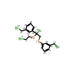 BrCCSC(Br)(CSc1cccc(CBr)c1)c1cccc(CBr)c1